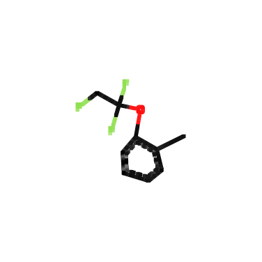 Cc1ccccc1OC(F)(F)CF